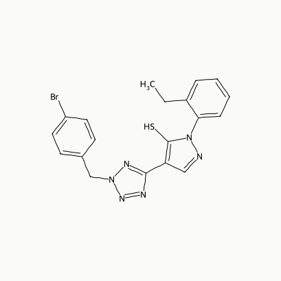 CCc1ccccc1-n1ncc(-c2nnn(Cc3ccc(Br)cc3)n2)c1S